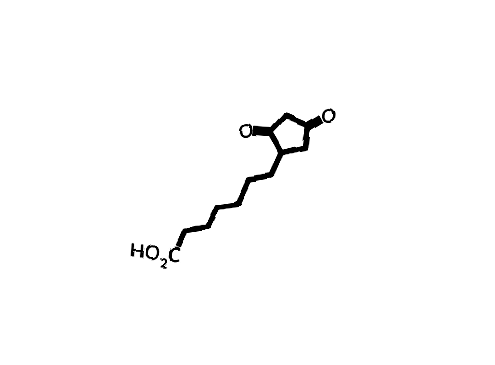 O=C(O)CCCCCCC1CC(=O)CC1=O